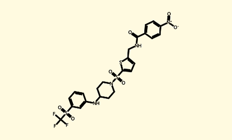 O=C(NCc1ccc(S(=O)(=O)N2CCC(Nc3cccc(S(=O)(=O)C(F)(F)F)c3)CC2)s1)c1ccc([N+](=O)[O-])cc1